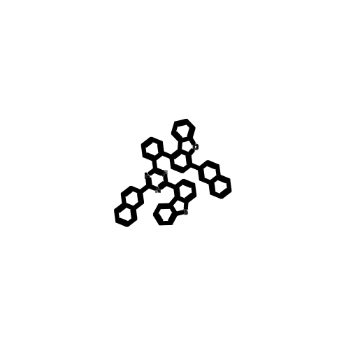 c1ccc(-c2ccc(-c3ccc4ccccc4c3)c3oc4ccccc4c23)c(-c2nc(-c3ccc4ccccc4c3)nc(-c3cccc4sc5ccccc5c34)n2)c1